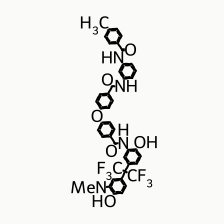 CNc1cc(C(c2ccc(O)c(NC(=O)c3ccc(Oc4ccc(C(=O)Nc5cccc(NC(=O)c6ccc(C)cc6)c5)cc4)cc3)c2)(C(F)(F)F)C(F)(F)F)ccc1O